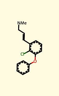 CNCC=Cc1cccc(Oc2ccccc2)c1Cl